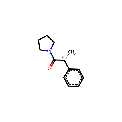 [CH2][C@@H](C(=O)N1CCCC1)c1ccccc1